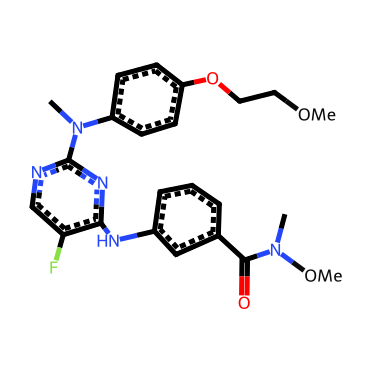 COCCOc1ccc(N(C)c2ncc(F)c(Nc3cccc(C(=O)N(C)OC)c3)n2)cc1